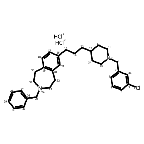 Cl.Cl.Clc1cccc(CN2CCC(CCCc3ccc4c(c3)CCN(Cc3ccccc3)CC4)CC2)c1